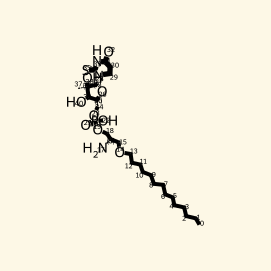 CCCCCCCCCCCCCCOC[C@H](N)COP(=O)(O)OC[C@H]1O[C@@H](n2ccc(=O)[nH]c2=S)[C@](C)(O)C1O